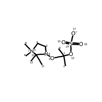 CC(C)(ON1CC[N+](C)(C)C1(C)C)OS(=O)(=O)[O-]